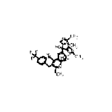 CCc1nc2ccc(C(O)(c3cnc(C)n3C)c3cnc(C)n3C)cc2c(C#N)c1Cc1ccc(C(F)(F)F)cc1